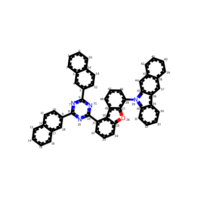 c1ccc2cc(-c3nc(-c4ccc5ccccc5c4)nc(-c4cccc5oc6c(-n7c8ccccc8c8cc9ccccc9cc87)cccc6c45)n3)ccc2c1